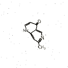 Cc1cc2[nH]ccc(=O)c2cn1